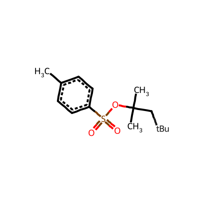 Cc1ccc(S(=O)(=O)OC(C)(C)CC(C)(C)C)cc1